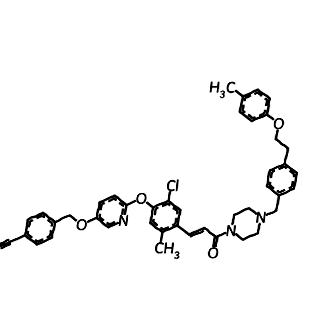 Cc1ccc(OCCc2ccc(CN3CCN(C(=O)/C=C/c4cc(Cl)c(Oc5ccc(OCc6ccc(C#N)cc6)cn5)cc4C)CC3)cc2)cc1